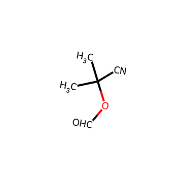 CC(C)(C#N)OC=O